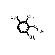 CCCCOc1c(C)ccc([N+](=O)[O-])c1C